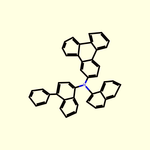 c1ccc(-c2ccc(N(c3ccc4c5ccccc5c5ccccc5c4c3)c3cccc4ccccc34)c3ccccc23)cc1